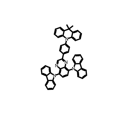 CC1(C)c2ccccc2N(c2ccc(-c3cnc4c(-n5c6ccccc6c6ccccc65)ccc(-n5c6ccccc6c6ccccc65)c4n3)cc2)c2ccccc21